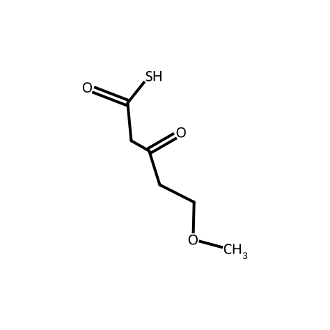 COCCC(=O)CC(=O)S